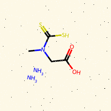 CN(CC(=O)O)C(=S)S.N.N